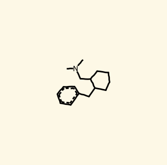 CN(C)CC1CCCCC1Cc1ccccc1